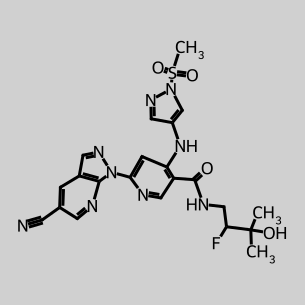 CC(C)(O)C(F)CNC(=O)c1cnc(-n2ncc3cc(C#N)cnc32)cc1Nc1cnn(S(C)(=O)=O)c1